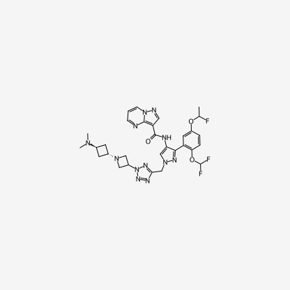 CC(F)Oc1ccc(OC(F)F)c(-c2nn(Cc3nnn(C4CN([C@H]5C[C@H](N(C)C)C5)C4)n3)cc2NC(=O)c2cnn3cccnc23)c1